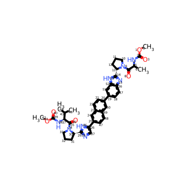 COC(=O)NC(C)C(=O)N1CCC[C@H]1c1nc2ccc(-c3ccc4cc(-c5cnc([C@@H]6CCCN6C(=O)[C@@H](NC(=O)OC)C(C)C)[nH]5)ccc4c3)cc2[nH]1